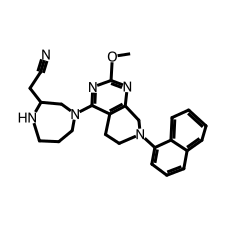 COc1nc2c(c(N3CCCNC(CC#N)C3)n1)CCN(c1cccc3ccccc13)C2